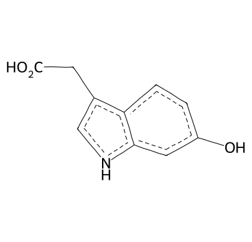 O=C(O)Cc1c[nH]c2cc(O)ccc12